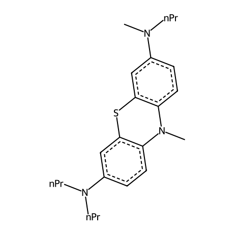 CCCN(C)c1ccc2c(c1)Sc1cc(N(CCC)CCC)ccc1N2C